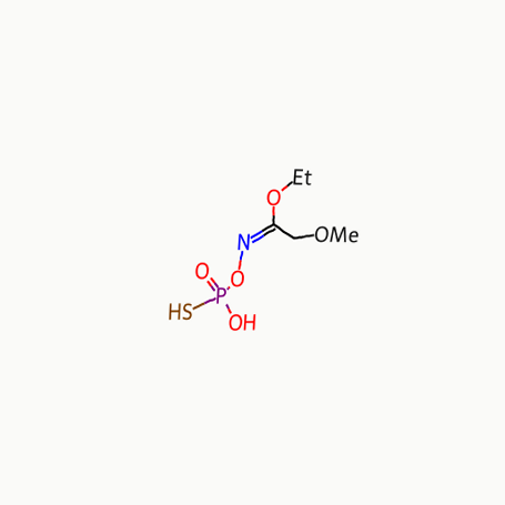 CCO/C(COC)=N/OP(=O)(O)S